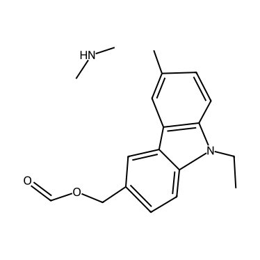 CCn1c2ccc(C)cc2c2cc(COC=O)ccc21.CNC